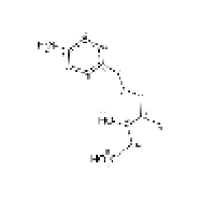 CC(CCCc1ccc(N)cc1)C(O)CC(=O)O